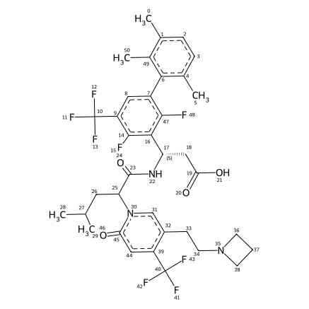 Cc1ccc(C)c(-c2cc(C(F)(F)F)c(F)c([C@H](CC(=O)O)NC(=O)C(CC(C)C)n3cc(CCN4CCC4)c(C(F)(F)F)cc3=O)c2F)c1C